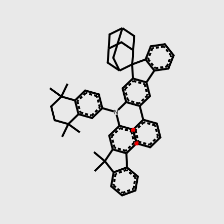 CC1(C)CCC(C)(C)c2cc(N(c3ccc4c(c3)C(C)(C)c3ccccc3-4)c3cc4c(cc3-c3ccccc3)-c3ccccc3C43C4CC5CC(C4)CC3C5)ccc21